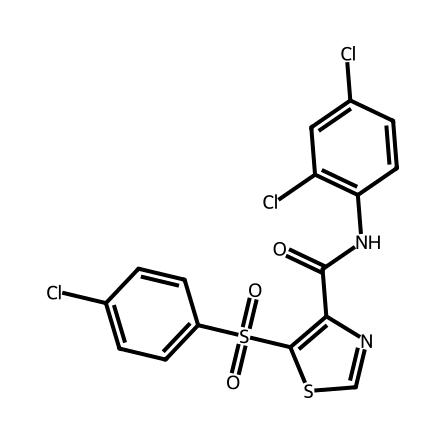 O=C(Nc1ccc(Cl)cc1Cl)c1ncsc1S(=O)(=O)c1ccc(Cl)cc1